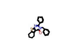 O=c1c2c3c(sc2nc(-c2ccccc2)n1Cc1ccccc1)CCCC3